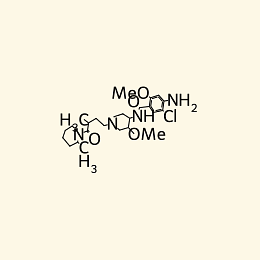 COc1cc(N)c(Cl)cc1C(=O)NC1CCN(CCC(C)C(=O)N2CCCCC2C)CC1OC